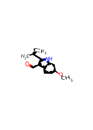 COc1ccc2c(C=O)c(C(C)C)[nH]c2c1